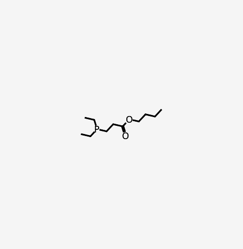 CCCCOC(=O)CCP(CC)CC